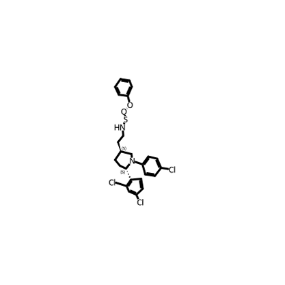 Clc1ccc(N2C[C@H](CCNSOOc3ccccc3)CC[C@H]2c2ccc(Cl)cc2Cl)cc1